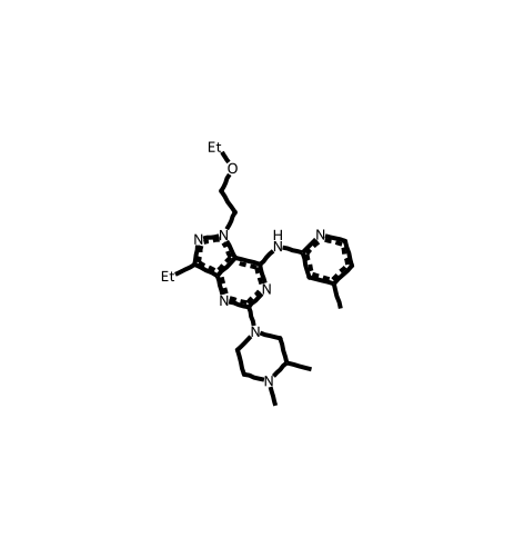 CCOCCn1nc(CC)c2nc(N3CCN(C)C(C)C3)nc(Nc3cc(C)ccn3)c21